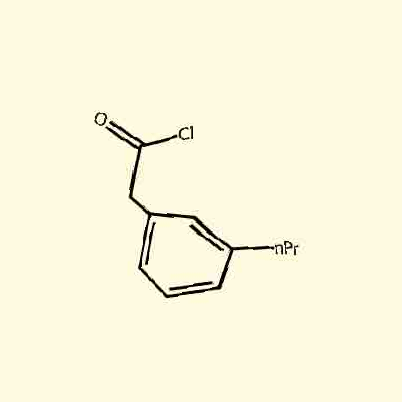 CCCc1cccc(CC(=O)Cl)c1